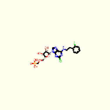 O=P(O)(O)COC[C@H]1O[C@@H](n2cnc3c(NCCc4ccccc4Cl)nc(Cl)nc32)[C@H](O)[C@@H]1O